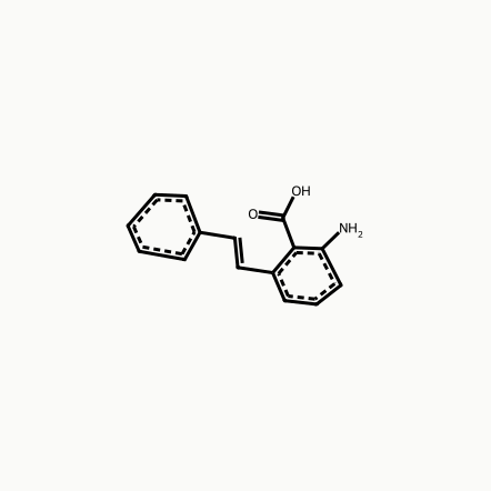 Nc1cccc(C=Cc2ccccc2)c1C(=O)O